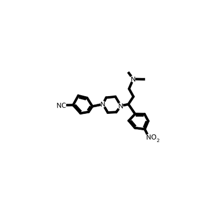 CN(C)CCC(c1ccc([N+](=O)[O-])cc1)N1CCN(c2ccc(C#N)cc2)CC1